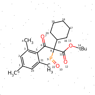 Cc1cc(C)c(C(=O)C(P=O)(C(=O)OC(C)(C)C)C2CCCCC2)c(C)c1